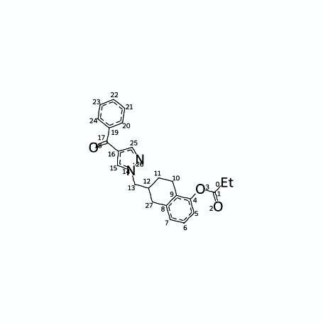 CCC(=O)Oc1cccc2c1CCC(Cn1cc(C(=O)c3ccccc3)cn1)C2